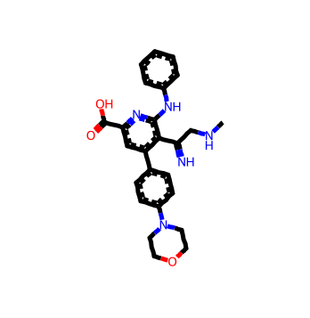 CNCC(=N)c1c(-c2ccc(N3CCOCC3)cc2)cc(C(=O)O)nc1Nc1ccccc1